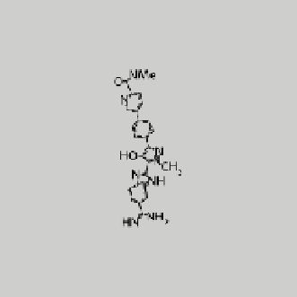 CNC(=O)c1ccc(-c2ccc(-c3nn(C)c(-c4nc5ccc(C(=N)N)cc5[nH]4)c3O)cc2)cn1